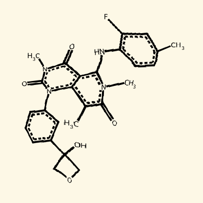 Cc1ccc(Nc2c3c(=O)n(C)c(=O)n(-c4cccc(C5(O)COC5)c4)c3c(C)c(=O)n2C)c(F)c1